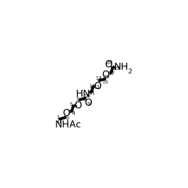 CC(=O)NCCOCCOCC(=O)NCCOCCOCC(N)=O